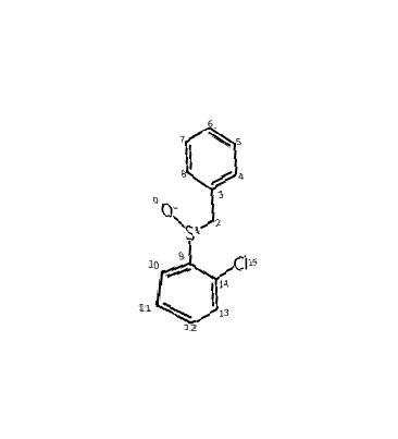 [O-][S+](Cc1cc[c]cc1)c1ccccc1Cl